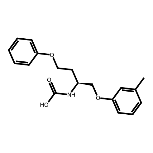 Cc1cccc(OC[C@H](CCOc2ccccc2)NC(=O)O)c1